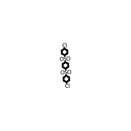 O=S(=O)(c1ccc(Cl)cc1)c1ccc(S(=O)(=O)c2ccc(Cl)cc2)cc1